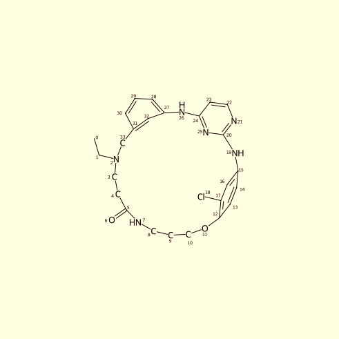 CCN1CCC(=O)NCCCOc2ccc(cc2Cl)Nc2nccc(n2)Nc2cccc(c2)C1